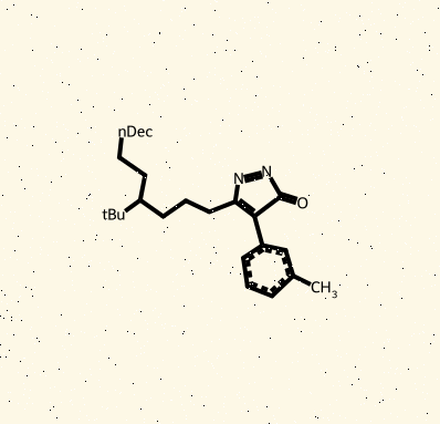 CCCCCCCCCCCCC(CCCC1=C(c2cccc(C)c2)C(=O)N=N1)C(C)(C)C